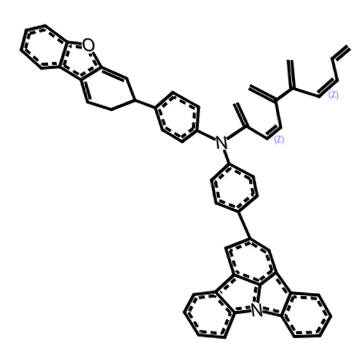 C=C/C=C\C(=C)C(=C)/C=C\C(=C)N(c1ccc(-c2cc3c4ccccc4n4c5ccccc5c(c2)c34)cc1)c1ccc(C2C=c3oc4ccccc4c3=CC2)cc1